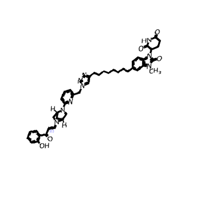 Cn1c(=O)n(C2CCC(=O)NC2=O)c2ccc(CCCCCCCCc3cn(Cc4cccc(N5C[C@H]6C[C@@H]5CN6/C=C/C(=O)c5ccccc5O)n4)nn3)cc21